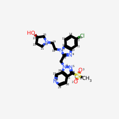 CS(=O)(=O)c1nn(Cc2nc3cc(Cl)ccc3n2CCN2CCC(O)C2)c2cnccc12